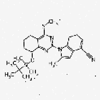 CSc1nc(-n2c(C)cc3c2CCC=C3C#N)nc2c1CCCC2O[Si](C)(C)C(C)(C)C